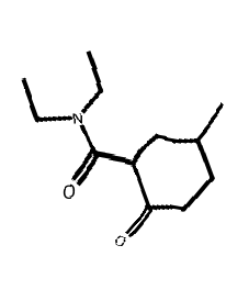 CCN(CC)C(=O)C1CC(C)CCC1=O